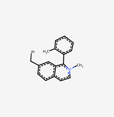 Cc1ccccc1-c1c2cc(CC(C)C)ccc2cc[n+]1C